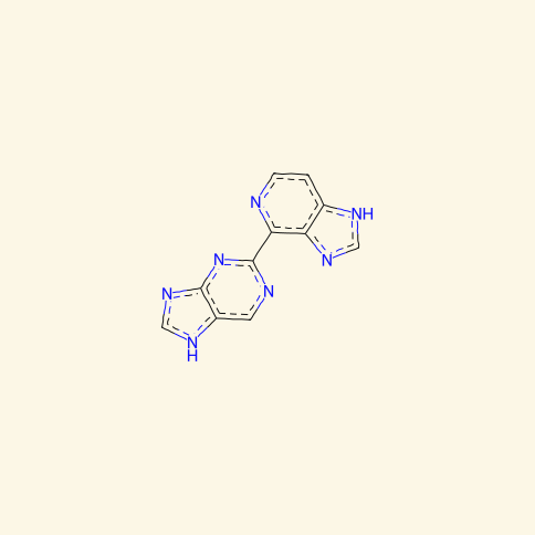 c1cc2[nH]cnc2c(-c2ncc3[nH]cnc3n2)n1